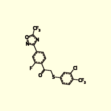 O=C(CSc1ccc(C(F)(F)F)c(Cl)c1)c1ccc(-c2noc(C(F)(F)F)n2)cc1F